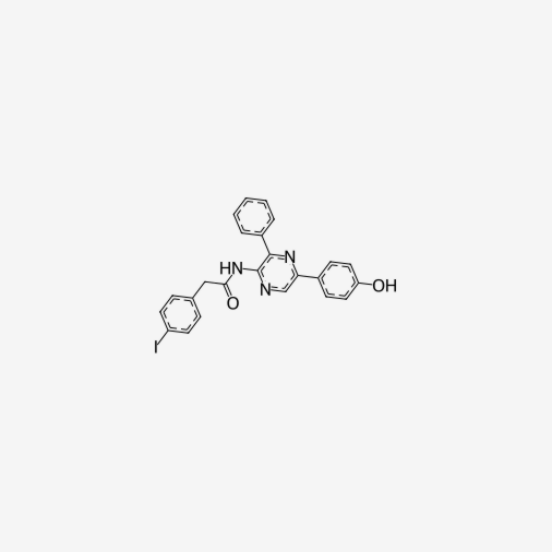 O=C(Cc1ccc(I)cc1)Nc1ncc(-c2ccc(O)cc2)nc1-c1ccccc1